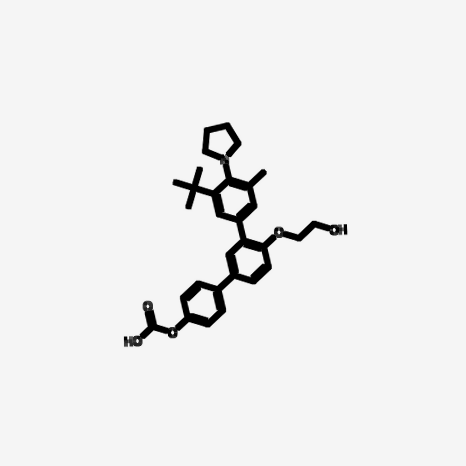 Cc1cc(-c2cc(-c3ccc(OC(=O)O)cc3)ccc2OCCO)cc(C(C)(C)C)c1N1CCCC1